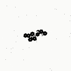 CS1(C)c2cc(N(c3cccc(-c4ccc5ccccc5c4)c3)c3cccc4c3oc3ccccc34)ccc2-c2c1ccc1c2sc2ccccc21